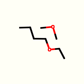 CCCCOCC.COC